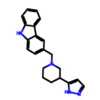 c1ccc2c(c1)[nH]c1ccc(CN3CCCC(c4ccn[nH]4)C3)cc12